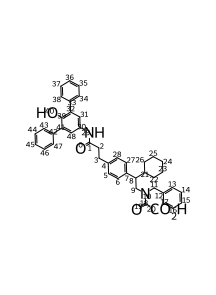 O=C(CCc1ccc(C(CN(Cc2ccccc2)C(=O)C(=O)O)C2CCCCC2)cc1)Nc1cc(-c2ccccc2)c(O)c(-c2ccccc2)c1